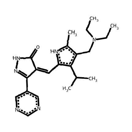 CCN(CC)Cc1c(C)[nH]c(C=C2C(=O)NN=C2c2cncnc2)c1C(C)C